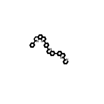 c1ccc(C2=Nc3c(ccc4ccc(-c5ccc(-c6ccc7ccc(-c8ccc9ccc(-c%10ccccn%10)nc9c8)cc7n6)cc5)nc34)CC2)cc1